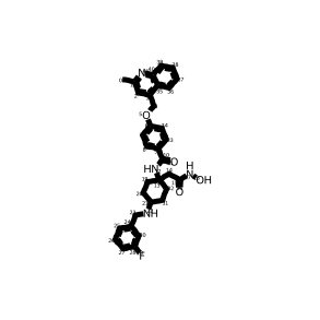 Cc1cc(COc2ccc(C(=O)NC3(CC(=O)NO)CCC(NCc4cccc(F)c4)CC3)cc2)c2ccccc2n1